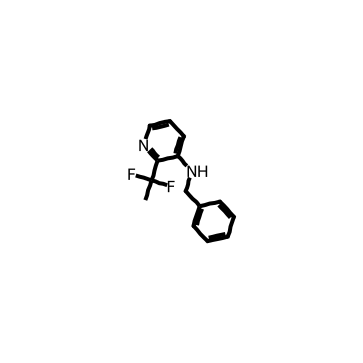 CC(F)(F)c1ncccc1NCc1ccccc1